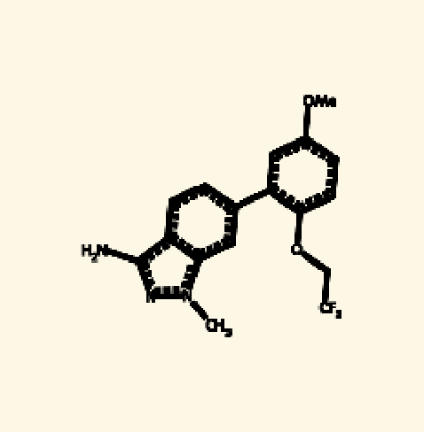 COc1ccc(OCC(F)(F)F)c(-c2ccc3c(N)nn(C)c3c2)c1